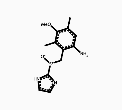 COc1c(C)cc(N)c(C[S+]([O-])c2ncc[nH]2)c1C